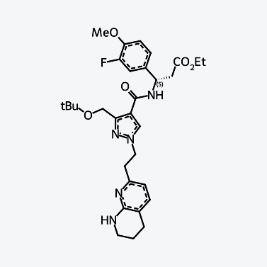 CCOC(=O)C[C@H](NC(=O)c1cn(CCc2ccc3c(n2)NCCC3)nc1COC(C)(C)C)c1ccc(OC)c(F)c1